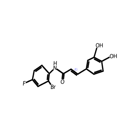 O=C(/C=C/c1ccc(O)c(O)c1)Nc1ccc(F)cc1Br